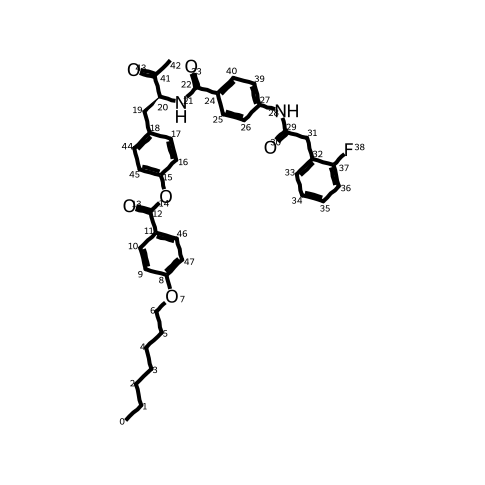 CCCCCCCOc1ccc(C(=O)Oc2ccc(C[C@H](NC(=O)c3ccc(NC(=O)Cc4ccccc4F)cc3)C(C)=O)cc2)cc1